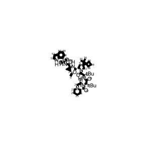 C=C[C@@H]1C[C@]1(NC(=O)[C@@H]1C[C@@]2(CN1C(=O)[C@@H](NC(=O)[C@@H](NC(=O)[C@@H]1CCCCN1CCF)C(C)(C)C)C(C)(C)C)C(C)(C)C21CCC1)C(=O)NS(=O)(=O)c1cccc2cc[nH]c12